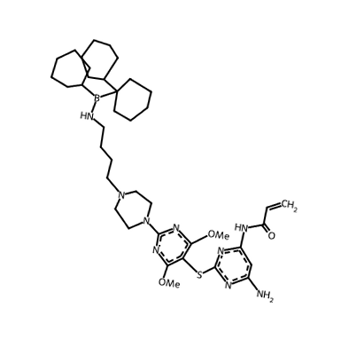 C=CC(=O)Nc1cc(N)nc(Sc2c(OC)nc(N3CCN(CCCCNB(C4CCCCC4)C4(C5CCCCC5)CCCCC4)CC3)nc2OC)n1